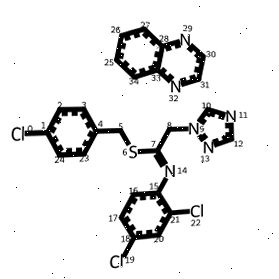 Clc1ccc(CS/C(Cn2cncn2)=N\c2ccc(Cl)cc2Cl)cc1.c1ccc2nccnc2c1